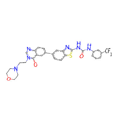 O=C(Nc1cccc(C(F)(F)F)c1)Nc1nc2cc(-c3ccc4ncn(CCN5CCOCC5)c(=O)c4c3)ccc2s1